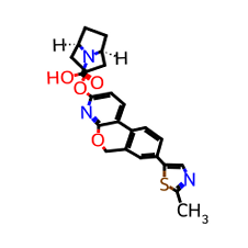 Cc1ncc(-c2ccc3c(c2)COc2nc(OC4C[C@H]5CC[C@@H](C4)N5C(=O)O)ccc2-3)s1